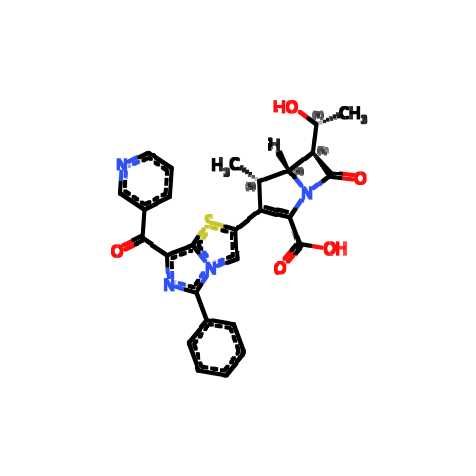 C[C@@H](O)[C@H]1C(=O)N2C(C(=O)O)=C(c3cn4c(-c5ccccc5)nc(C(=O)c5cccnc5)c4s3)[C@H](C)[C@H]12